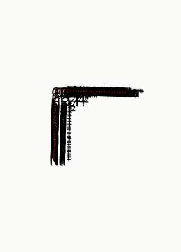 C=CC(=O)O.C=CC(=O)O.C=CC(=O)O.C=CC(=O)O.C=CC(=O)O.C=CC(=O)O.C=CC(=O)O.C=CC(=O)O.C=CC(=O)O.[Na+].[Na+].[Na+].[Na+].[Na+].[Na+].[Na+].[Na+].[Na+].[Na+].[Na+].[Na+].[Na+].[Na+].[Na+].[Na+].[Na+].[Na+].[Na+].[Na+].[Na+].[Na+].[Na+].[Na+].[Na+].[Na+].[Na+].[Na+].[Na+].[Na+].[Na+].[Na+].[Na+].[Na+].[Na+].[Na+].[Na+].[Na+].[Na+].[Na+].[Na+].[Na+].[Na+].[Na+].[Na+].[Na+].[Na+].[Na+].[Na+].[Na+].[Na+].[Na+].[Na+].[Na+].[Na+].[Na+].[Na+].[Na+].[Na+].[Na+].[Na+].[Na+].[Na+].[Na+].[Na+].[Na+].[Na+].[Na+].[Na+].[Na+].[Na+].[Na+].[Na+].[Na+].[Na+].[Na+].[Na+].[Na+].[Na+].[Na+].[Na+].[Na+].[Na+].[Na+].[Na+].[Na+].[Na+].[Na+].[Na+].[Na+].[Na+]